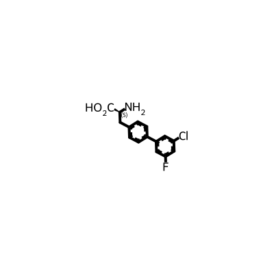 N[C@@H](Cc1ccc(-c2cc(F)cc(Cl)c2)cc1)C(=O)O